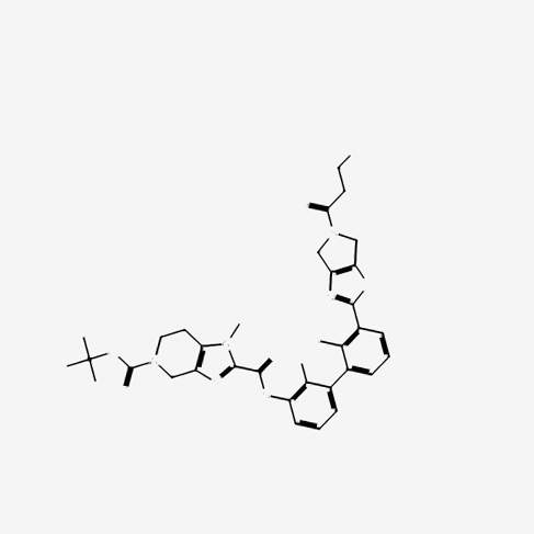 Cn1c(C(=O)Nc2cccc(-c3cccc(-c4nc5c(o4)CN(C(=O)CCCl)C5)c3Cl)c2Cl)nc2c1CCN(C(=O)OC(C)(C)C)C2